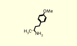 COc1ccc(CC[C@@H](C)N)cc1